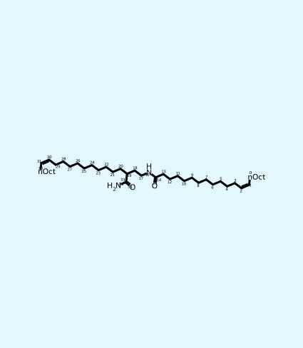 CCCCCCCC/C=C\CCCCCCCCCCCC(=O)NCCC(CCCCCCCCCC/C=C\CCCCCCCC)C(N)=O